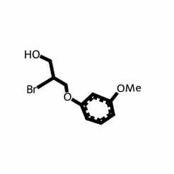 COc1cccc(OCC(Br)CO)c1